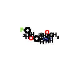 [2H]C([2H])(N[C@]([2H])(C(C)=O)C([2H])([2H])[2H])c1ccc(OC([2H])([2H])c2cccc(F)c2)cc1